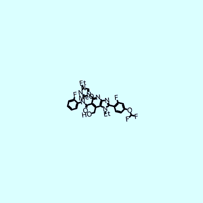 CCn1cnc(N(C(=O)c2c(OC)nc3nc(-c4ccc(OC(F)F)cc4F)n(CC)c3c2CO)c2ccccc2F)n1